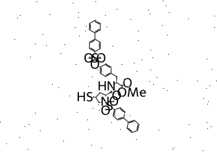 COC(=O)[C@H](Cc1ccc(OS(=O)(=O)c2ccc(-c3ccccc3)cc2)cc1)NC(=O)[C@@H]1C[C@H](S)CN1S(=O)(=O)c1ccc(-c2ccccc2)cc1